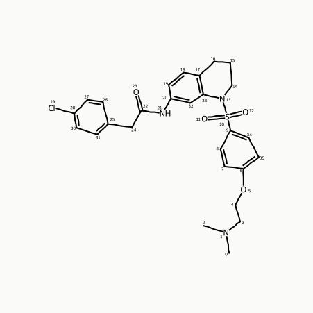 CN(C)CCOc1ccc(S(=O)(=O)N2CCCc3ccc(NC(=O)Cc4ccc(Cl)cc4)cc32)cc1